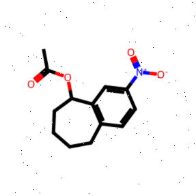 CC(=O)OC1CCCCc2ccc([N+](=O)[O-])cc21